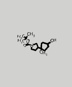 CC(C)(C)OC(=O)N1CCC(C2(C)CCC(O)CC2)C1